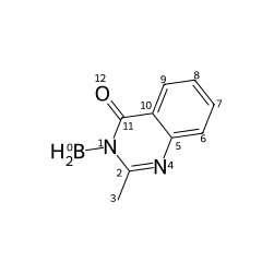 Bn1c(C)nc2ccccc2c1=O